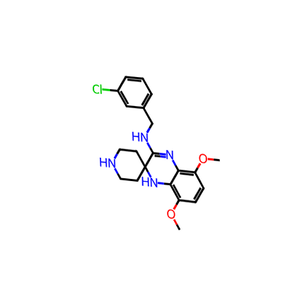 COc1ccc(OC)c2c1N=C(NCc1cccc(Cl)c1)C1(CCNCC1)N2